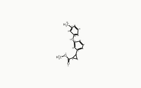 COC(=O)C1CC1c1cccc(Oc2cccc(C)c2)c1